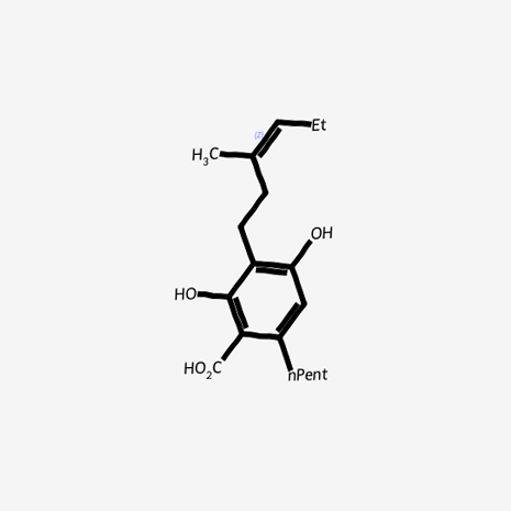 CC/C=C(/C)CCc1c(O)cc(CCCCC)c(C(=O)O)c1O